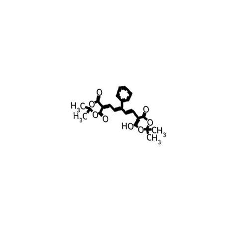 CC1(C)OC(=O)C(=C/C=C(/C=C/C2=C(O)OC(C)(C)OC2=O)c2ccccc2)C(=O)O1